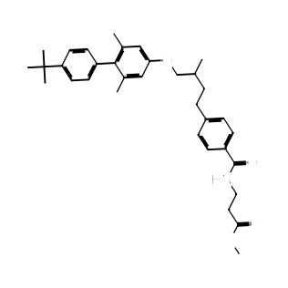 COC(=O)CCNC(=O)c1ccc(CCC(C)COc2cc(C)c(-c3ccc(C(C)(C)C)cc3)c(C)c2)cc1